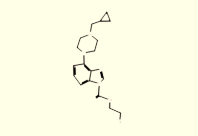 CC(C)CCNC(=O)n1cnc2c(N3CCN(CC4CC4)CC3)cccc21